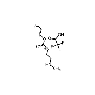 CC=NOC(=O)NCCNC.O=C(O)C(F)(F)F